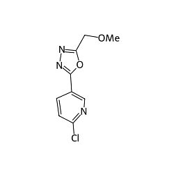 COCc1nnc(-c2ccc(Cl)nc2)o1